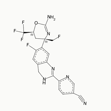 N#Cc1ccc(C2=Nc3cc([C@]4(CF)C[C@@H](C(F)(F)F)OC(N)=N4)c(F)cc3CN2)nc1